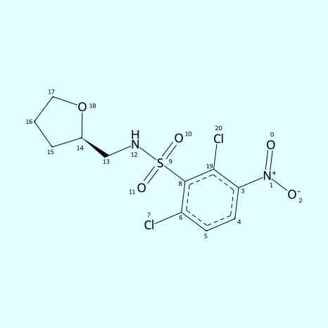 O=[N+]([O-])c1ccc(Cl)c(S(=O)(=O)NC[C@H]2CCCO2)c1Cl